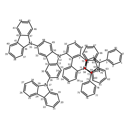 c1ccc(-c2cc(-c3cccc(-n4c5ccc(-n6c7ccccc7c7ccccc76)cc5c5cc(-n6c7ccccc7c7ccccc76)ccc54)c3-c3ccccc3-n3c4ccccc4c4ccccc43)nc(-c3ccccc3)n2)cc1